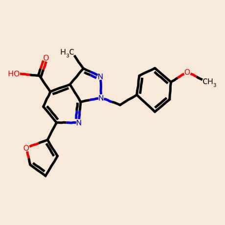 COc1ccc(Cn2nc(C)c3c(C(=O)O)cc(-c4ccco4)nc32)cc1